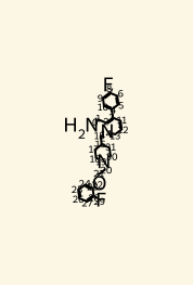 NCC1=C(c2ccc(F)cc2)C=CCN1CC1CCN(CCOc2ccccc2F)CC1